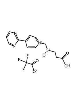 O=C(O)CC[S+]([O-])C[n+]1ccc(-c2ncccn2)cc1.O=C([O-])C(F)(F)F